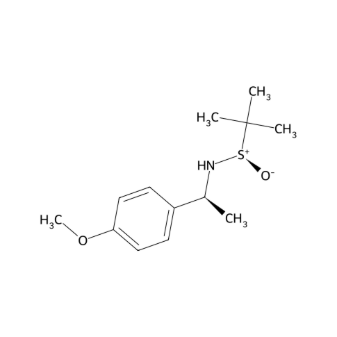 COc1ccc([C@H](C)N[S@+]([O-])C(C)(C)C)cc1